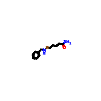 NC(=O)CCCCSNCc1ccccc1